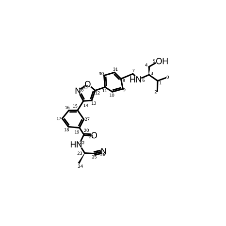 CC(C)[C@H](CO)NCc1ccc(-c2cc(-c3cccc(C(=O)N[C@H](C)C#N)c3)no2)cc1